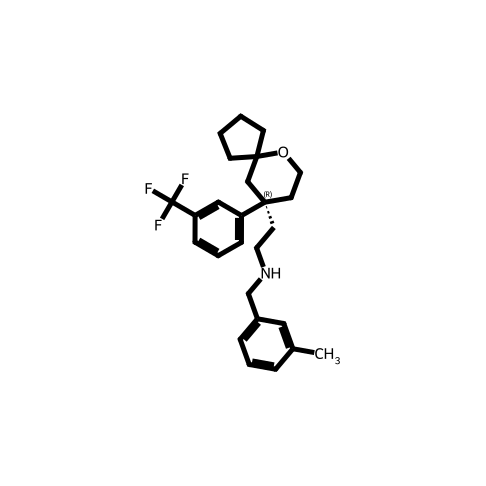 Cc1cccc(CNCC[C@@]2(c3cccc(C(F)(F)F)c3)CCOC3(CCCC3)C2)c1